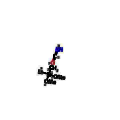 CC[Si](C)(OC)OC.N=C=O